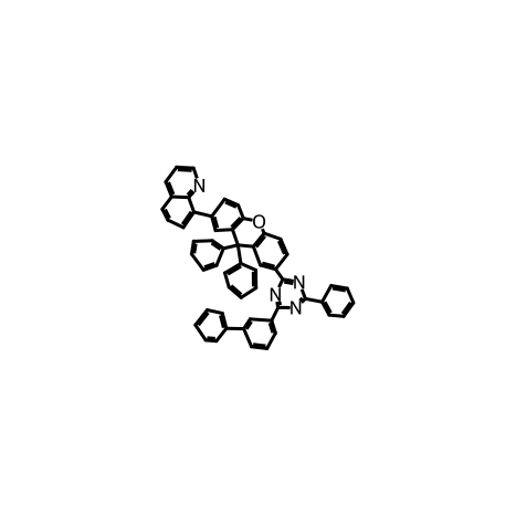 c1ccc(-c2cccc(-c3nc(-c4ccccc4)nc(-c4ccc5c(c4)C(c4ccccc4)(c4ccccc4)c4cc(-c6cccc7cccnc67)ccc4O5)n3)c2)cc1